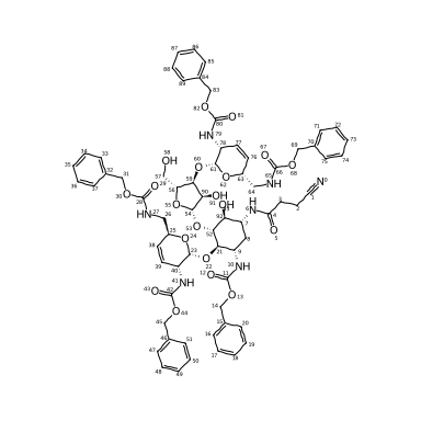 N#CCCC(=O)N[C@@H]1C[C@H](NC(=O)OCc2ccccc2)[C@@H](O[C@H]2O[C@H](CNC(=O)OCc3ccccc3)C=C[C@H]2NC(=O)OCc2ccccc2)[C@H](O[C@@H]2O[C@H](CO)[C@@H](O[C@H]3O[C@@H](CNC(=O)OCc4ccccc4)C=C[C@H]3NC(=O)OCc3ccccc3)[C@H]2O)[C@H]1O